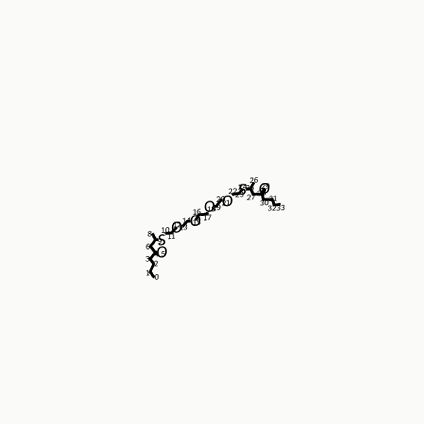 CCCCC(=O)CC(C)SCCOCCOCCOCCOCCSC(C)CC(=O)CCCC